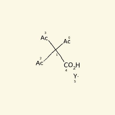 CC(=O)C(C(C)=O)(C(C)=O)C(=O)O.[Y]